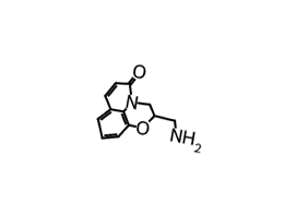 NCC1Cn2c(=O)ccc3cccc(c32)O1